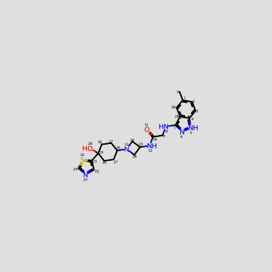 Cc1ccc2[nH]nc(NCC(=O)NC3CN(C4CCC(O)(c5cncs5)CC4)C3)c2c1